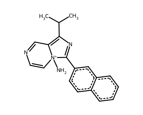 CC(C)C1=C2C=NC=C[N+]2(N)C(c2ccc3ccccc3c2)=N1